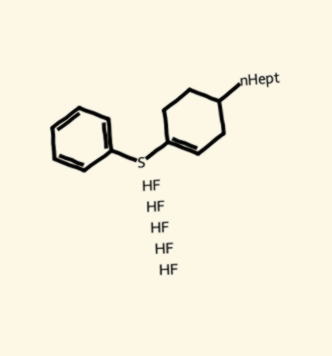 CCCCCCCC1CC=C(Sc2ccccc2)CC1.F.F.F.F.F